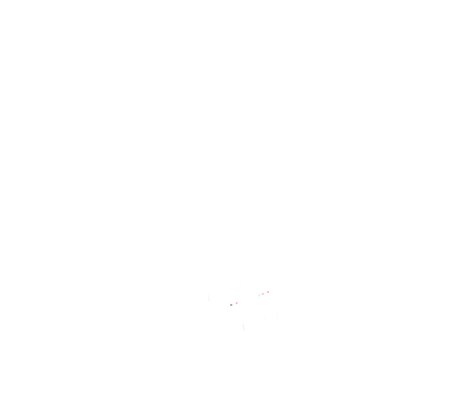 CCC(=O)O.CCC(=O)O.CCCCCCCCCCCCCCCCCCS